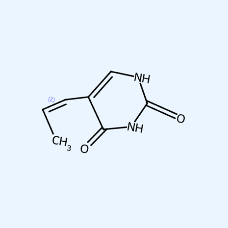 C/C=C\c1c[nH]c(=O)[nH]c1=O